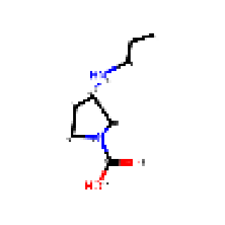 CCCN[C@H]1CCN(C(=O)O)C1